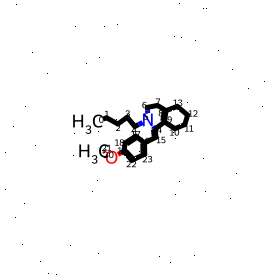 CCCCCN1CCC2=C(CCCC2)/C1=C/c1ccc(OC)cc1